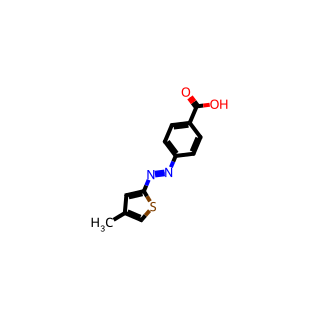 Cc1csc(N=Nc2ccc(C(=O)O)cc2)c1